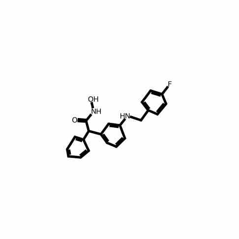 O=C(NO)C(c1ccccc1)c1cccc(NCc2ccc(F)cc2)c1